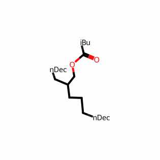 CCCCCCCCCCCCCC(CCCCCCCCCCC)COC(=O)C(C)CC